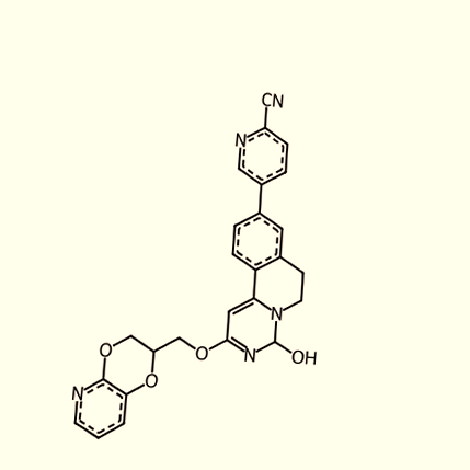 N#Cc1ccc(-c2ccc3c(c2)CCN2C3=CC(OCC3COc4ncccc4O3)=NC2O)cn1